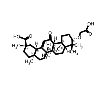 CC1(C)[C@@H](OCC(=O)O)CC[C@]2(C)[C@H]3C(=O)C=C4[C@@H]5C[C@@](C)(C(=O)O)CC[C@]5(C)CC[C@@]4(C)[C@]3(C)CC[C@@H]12